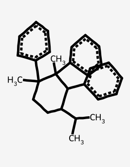 CC(C)C1CCC(C)(c2ccccc2)C(C)(c2ccccc2)C1c1ccccc1